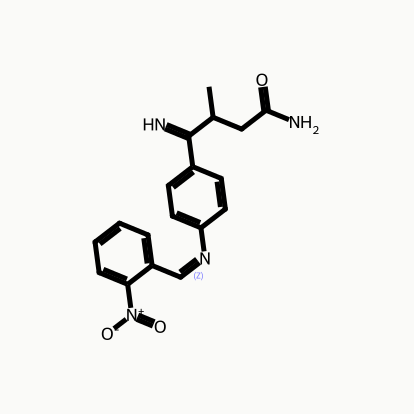 CC(CC(N)=O)C(=N)c1ccc(/N=C\c2ccccc2[N+](=O)[O-])cc1